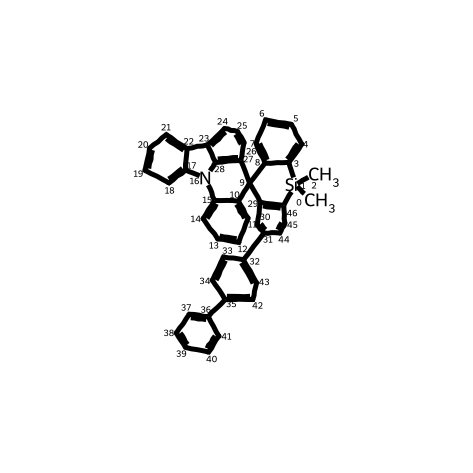 C[Si]1(C)c2ccccc2C2(c3ccccc3-n3c4ccccc4c4cccc2c43)c2cc(-c3ccc(-c4ccccc4)cc3)ccc21